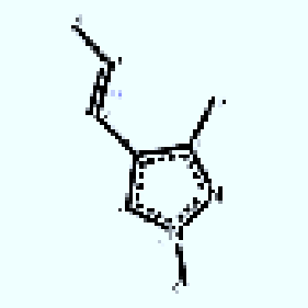 C/C=C/c1cn(C)nc1C